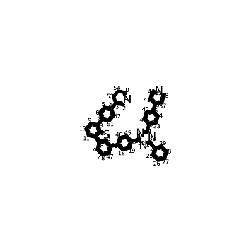 C1=NC=C(c2ccc(-c3cccc4c3sc3c(-c5ccc(-c6nc(-c7ccccc7)nc(-c7ccc(-c8ccncc8)cc7)n6)cc5)cccc34)cc2)CC1